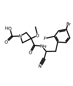 COC1(C(=O)NC(C#N)Cc2ccc(Br)cc2F)CN(C(=O)O)C1